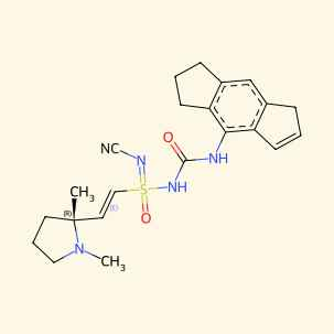 CN1CCC[C@]1(C)/C=C/S(=O)(=NC#N)NC(=O)Nc1c2c(cc3c1CCC3)CC=C2